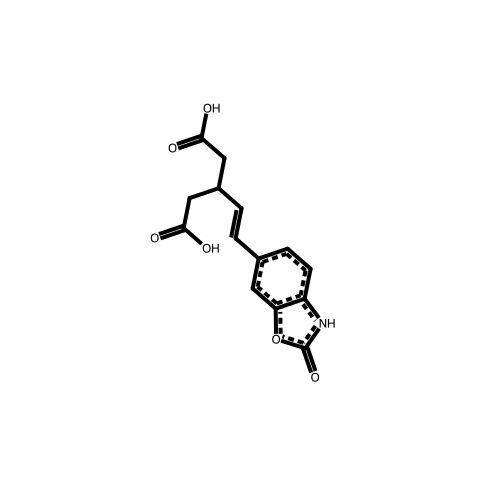 O=C(O)CC(C=Cc1ccc2[nH]c(=O)oc2c1)CC(=O)O